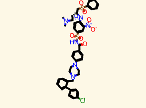 CN(C)CC[C@H](CS(=O)(=O)c1ccccc1)Nc1ccc(S(=O)(=O)NC(=O)c2ccc(N3CCN(Cc4ccccc4-c4ccc(Cl)cc4)CC3)cc2)cc1[N+](=O)[O-]